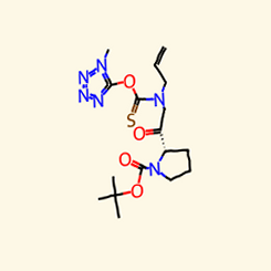 C=CCN(CC(=O)[C@@H]1CCCN1C(=O)OC(C)(C)C)C(=S)Oc1nnnn1C